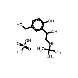 CC(C)(C)NCC(O)c1cc(CO)ccc1O.O=S(=O)(O)O